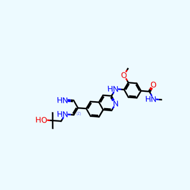 CNC(=O)c1ccc(Nc2cc3cc(/C(C=N)=C/NCC(C)(C)O)ccc3cn2)c(OC)c1